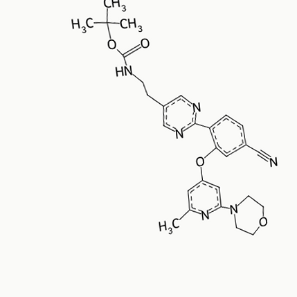 Cc1cc(Oc2cc(C#N)ccc2-c2ncc(CCNC(=O)OC(C)(C)C)cn2)cc(N2CCOCC2)n1